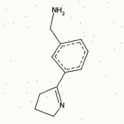 NCc1cccc(C2=NCCC2)c1